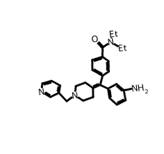 CCN(CC)C(=O)c1ccc(C(=C2CCN(Cc3cccnc3)CC2)c2cccc(N)c2)cc1